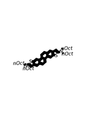 CCCCCCCCN(CCCCCCCC)c1cc2cc3ccc4c5cc6sc(N(CCCCCCCC)CCCCCCCC)cc6cc5ccc4c3cc2s1